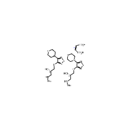 CC(C)(C)NC[C@H](O)COc1nsnc1N1CCOCC1.CC(C)(C)NC[C@H](O)COc1nsnc1N1CCOCC1.O=C(O)/C=C\C(=O)O